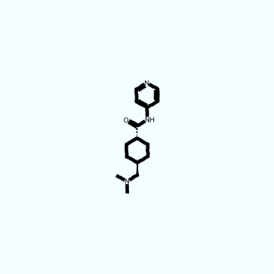 CN(C)C[C@H]1CC[C@H](C(=O)Nc2ccncc2)CC1